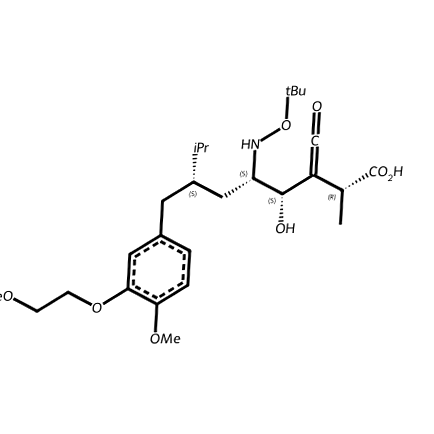 COCCOc1cc(C[C@@H](C[C@H](NOC(C)(C)C)[C@@H](O)C(=C=O)[C@@H](C)C(=O)O)C(C)C)ccc1OC